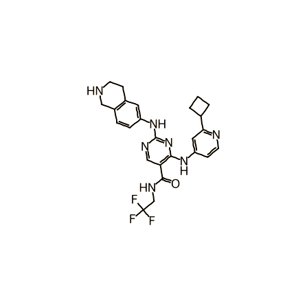 O=C(NCC(F)(F)F)c1cnc(Nc2ccc3c(c2)CCNC3)nc1Nc1ccnc(C2CCC2)c1